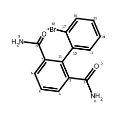 NC(=O)c1cccc(C(N)=O)c1-c1ccccc1Br